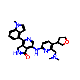 CN(C)Cc1nc(Nc2cnc(-c3cccc4c3ccn4C)c3c2C(=O)NC3)ccc1C1CCOC1